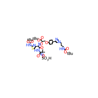 CC(C)(C)OC(=O)NCCCn1cnc(-c2ccc(OCC(O/N=C(\C(=O)N[C@@H]3C(=O)N(OS(=O)(=O)O)C3(C)C)c3csc(NC(=O)OC(C)(C)C)n3)C(=O)OC(C)(C)C)cc2)c1